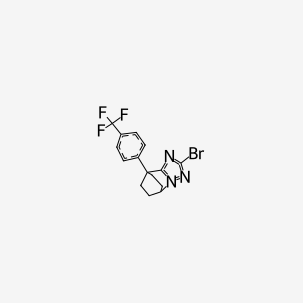 FC(F)(F)c1ccc(C23CCC(CC2)n2nc(Br)nc23)cc1